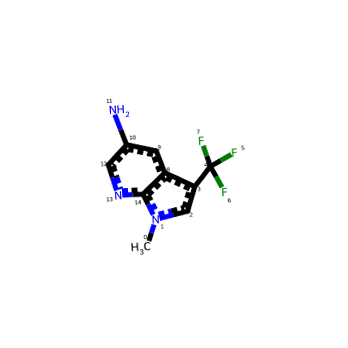 Cn1cc(C(F)(F)F)c2cc(N)cnc21